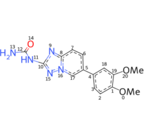 COc1ccc(-c2ccc3nc(NC(N)=O)nn3c2)cc1OC